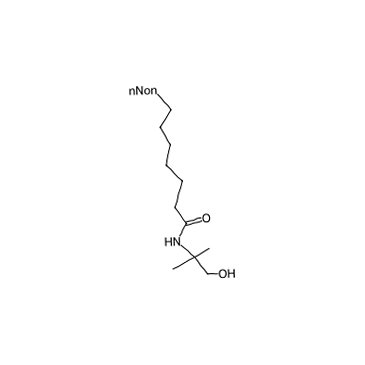 CCCCCCCCCCCCCCCC(=O)NC(C)(C)CO